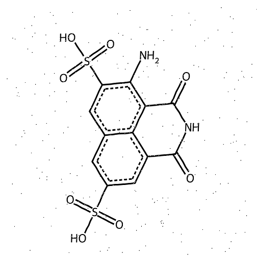 Nc1c(S(=O)(=O)O)cc2cc(S(=O)(=O)O)cc3c2c1C(=O)NC3=O